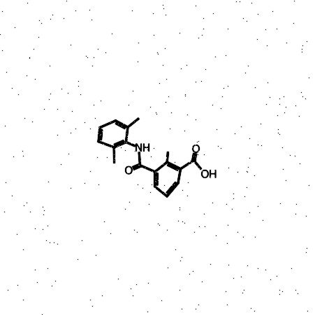 Cc1cccc(C)c1NC(=O)c1cccc(C(=O)O)c1C